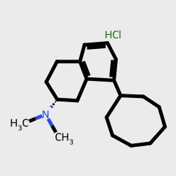 CN(C)[C@@H]1CCc2cccc(C3CCCCCCC3)c2C1.Cl